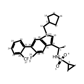 C[C@@H](NS(=O)(=O)C1CC1)c1cn(CC2CCCC2)c2cc(-c3ccccc3C(F)(F)F)c(F)cc12